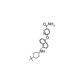 CC(C)(C)C1CCC(NCc2cccc3c(Oc4ccc(C(N)=O)cn4)cccc23)CC1